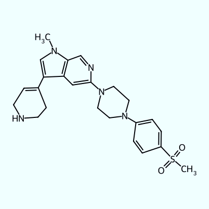 Cn1cc(C2=CCNCC2)c2cc(N3CCN(c4ccc(S(C)(=O)=O)cc4)CC3)ncc21